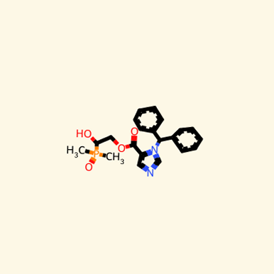 CP(C)(=O)C(O)COC(=O)c1cncn1C(c1ccccc1)c1ccccc1